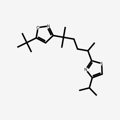 CC(C)c1csc(C(C)CCC(C)(C)c2cc(C(C)(C)C)on2)n1